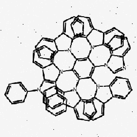 c1ccc(-n2c3ccccc3c3c2c2ccccc2n3-c2c(-n3c4ccccc4c4ccccc43)c(-n3c4ccccc4c4ccccc43)c(-n3cnc4ccccc43)c(-n3c4ccccc4c4ccccc43)c2-n2c3ccccc3c3ccccc32)cc1